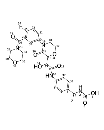 CC(NC(=O)O)c1ccc(NC(=O)C(O)C2OCCN(c3ccc(F)c(C(=O)N4CCOCC4)c3)C2=O)cc1